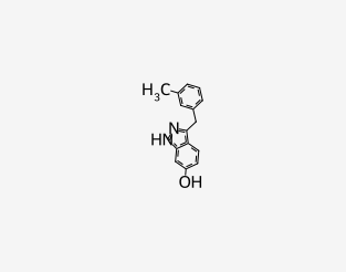 Cc1cccc(Cc2n[nH]c3cc(O)ccc23)c1